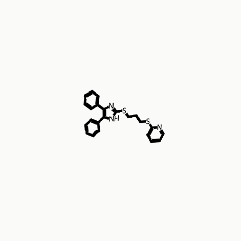 c1ccc(-c2nc(SCCCSc3ccccn3)[nH]c2-c2ccccc2)cc1